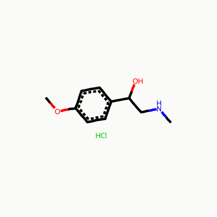 CNCC(O)c1ccc(OC)cc1.Cl